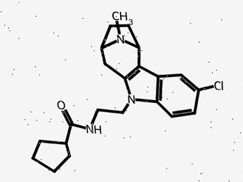 CN1C2CCC1c1c(n(CCNC(=O)C3CCCC3)c3ccc(Cl)cc13)C2